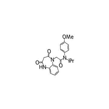 COc1ccc(N(C(=O)CN2C(=O)CC(=O)Nc3ccccc32)C(C)C)cc1